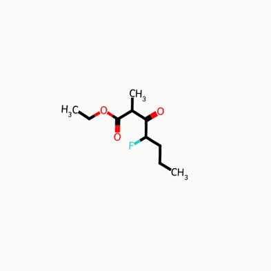 CCCC(F)C(=O)C(C)C(=O)OCC